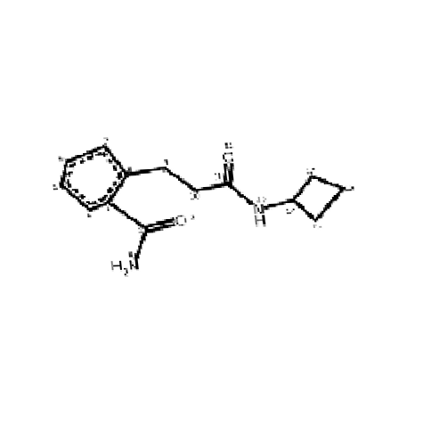 NC(=O)c1ccccc1[CH]CC(=O)NC1CCC1